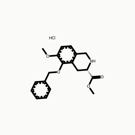 COC(=O)[C@@H]1Cc2c(ccc(OC)c2OCc2ccccc2)CN1.Cl